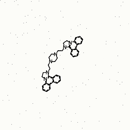 c1ccc2c(c1)c1[n+](c3ccccc23)CCN1CCN1CCN(CCN2CC[n+]3c2c2ccccc2c2ccccc23)CC1